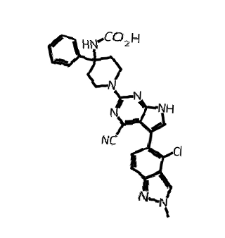 Cn1cc2c(Cl)c(-c3c[nH]c4nc(N5CCC(NC(=O)O)(c6ccccc6)CC5)nc(C#N)c34)ccc2n1